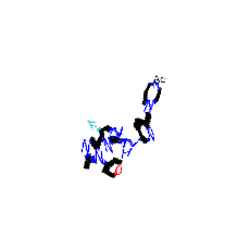 CC(=O)N1CCCN(Cc2ccc(Nc3ncc(F)c(-c4cnc(C)n4C4CCOCC4)n3)cn2)CC1